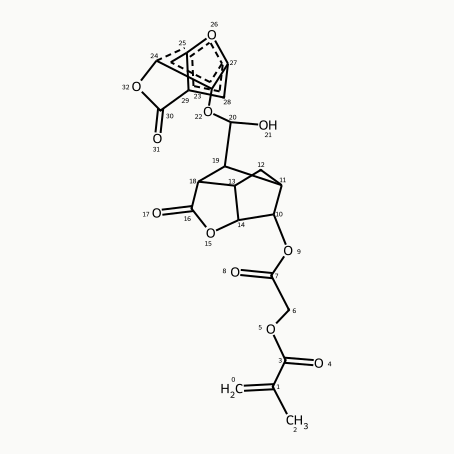 C=C(C)C(=O)OCC(=O)OC1C2CC3C1OC(=O)C3C2C(O)Oc1c2c3oc1cc3C(=O)O2